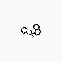 O=S(=O)(Oc1ncncn1)c1cccc2ccccc12